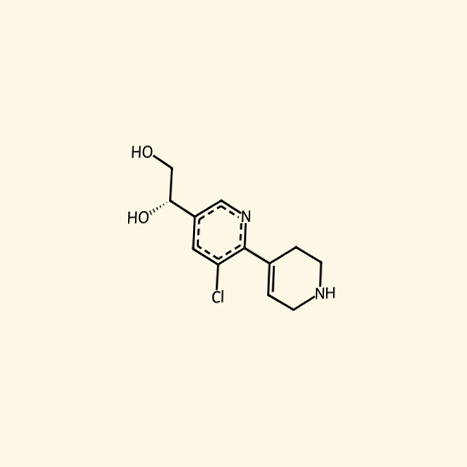 OC[C@@H](O)c1cnc(C2=CCNCC2)c(Cl)c1